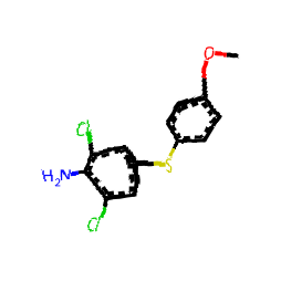 COc1ccc(Sc2cc(Cl)c(N)c(Cl)c2)cc1